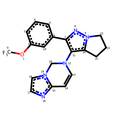 FC(F)(F)Oc1cccc(-c2nn3c(c2N2C=Cc4nccn4C2)CCC3)c1